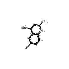 Cc1cc(C(C)(C)C)c2cc(F)ccc2n1